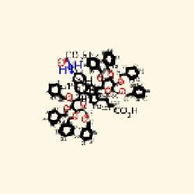 CCOC(=O)C(=O)NN[C@H]1CC[C@@]2(C)[C@@H](C1)C[C@H](C1O[C@H](COCc3ccccc3)[C@@H](OCc3ccccc3)[C@H](OCc3ccccc3)[C@H]1OCc1ccccc1)[C@@H]1[C@@H]2C[C@@H]([C@@H]2O[C@H](COCc3ccccc3)[C@@H](OCc3ccccc3)[C@H](OCc3ccccc3)[C@H]2OCc2ccccc2)[C@]2(C)[C@@H]([C@H](C)CCC(=O)O)CC[C@@H]12